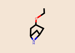 CCOC1CC2CC(C1)N2